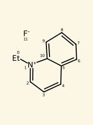 CC[n+]1cccc2ccccc21.[F-]